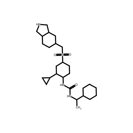 CC(NC(=O)NC1CCC(S(=O)(=O)CC2CCC3CNCC3C2)CC1C1CC1)C1CCCCC1